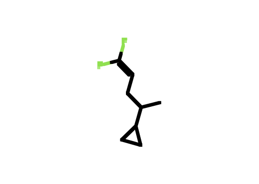 CC(CC=C(F)F)C1CC1